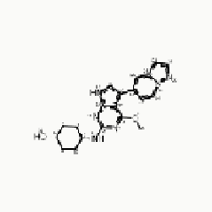 COc1nc(N[C@H]2CC[C@@H](O)CC2)nc2[nH]cc(-c3ccn4nccc4c3)c12